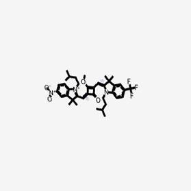 COC1=C(/C=C2\N(CCC(C)C)c3ccc(C(F)(F)F)cc3C2(C)C)C(=O)/C1=C/C1=[N+](CCC(C)C)c2ccc([N+](=O)[O-])cc2C1(C)C